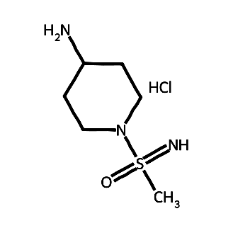 CS(=N)(=O)N1CCC(N)CC1.Cl